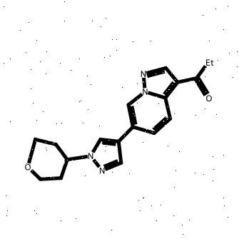 CCC(=O)c1cnn2cc(-c3cnn(C4CCOCC4)c3)ccc12